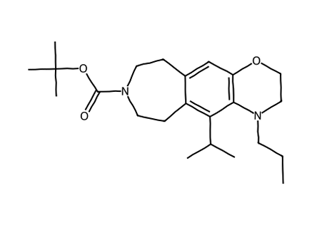 CCCN1CCOc2cc3c(c(C(C)C)c21)CCN(C(=O)OC(C)(C)C)CC3